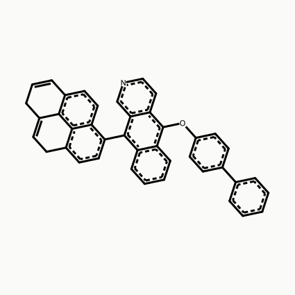 C1=Cc2ccc3c(-c4c5ccccc5c(Oc5ccc(-c6ccccc6)cc5)c5ccncc45)ccc4c3c2C(=CC4)C1